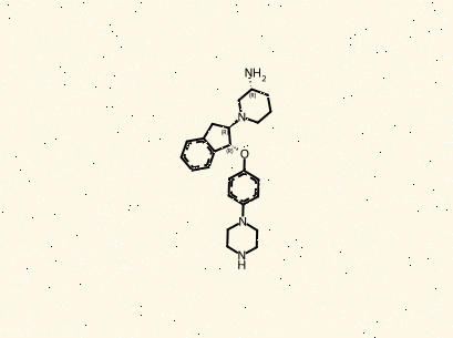 N[C@@H]1CCCN([C@@H]2Cc3ccccc3[C@H]2Oc2ccc(N3CCNCC3)cc2)C1